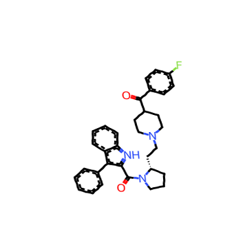 O=C(c1ccc(F)cc1)C1CCN(CC[C@@H]2CCCN2C(=O)c2[nH]c3ccccc3c2-c2ccccc2)CC1